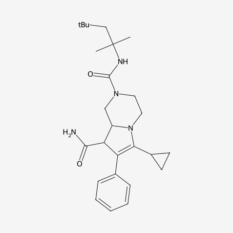 CC(C)(C)CC(C)(C)NC(=O)N1CCN2C(C3CC3)=C(c3ccccc3)C(C(N)=O)C2C1